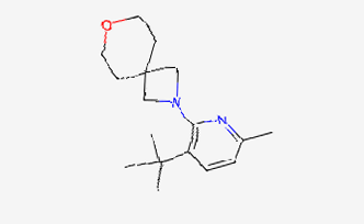 Cc1ccc(C(C)(C)C)c(N2CC3(CCOCC3)C2)n1